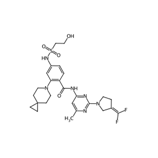 Cc1cc(NC(=O)c2ccc(NS(=O)(=O)CCO)cc2N2CCC3(CC2)CC3)nc(N2CCC(=C(F)F)C2)n1